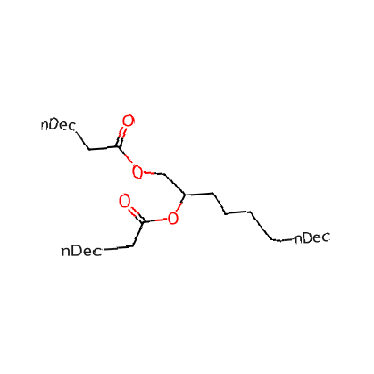 CCCCCCCCCCCCCCC(COC(=O)CCCCCCCCCCC)OC(=O)CCCCCCCCCCC